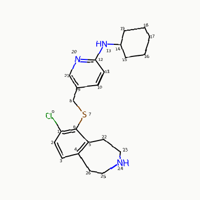 Clc1ccc2c(c1SCc1ccc(NC3CCCCC3)nc1)CCNCC2